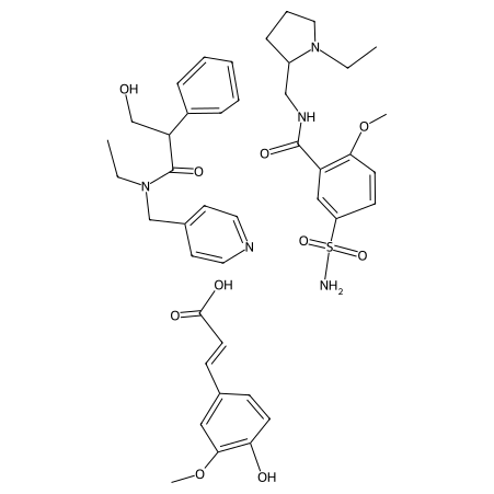 CCN(Cc1ccncc1)C(=O)C(CO)c1ccccc1.CCN1CCCC1CNC(=O)c1cc(S(N)(=O)=O)ccc1OC.COc1cc(/C=C/C(=O)O)ccc1O